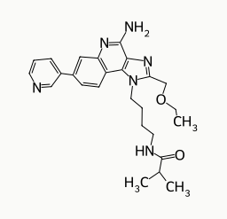 CCOCc1nc2c(N)nc3cc(-c4cccnc4)ccc3c2n1CCCCNC(=O)C(C)C